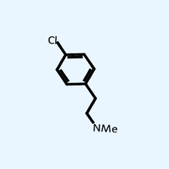 [CH2]NCCc1ccc(Cl)cc1